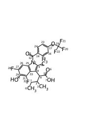 CCC(C)C(C(=O)O)c1c(C)n(C(=O)c2ccc(OC(F)(F)F)cc2)c2cc(F)c(O)c(F)c12